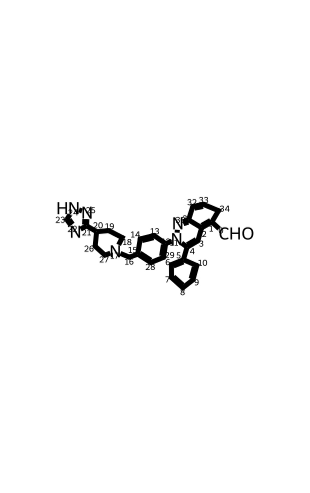 O=CC1=C2C=C(c3ccccc3)N(c3ccc(CN4CCC(c5nc[nH]n5)CC4)cc3)N=C2C=CC1